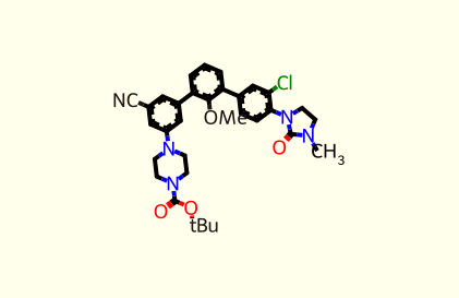 COc1c(-c2cc(C#N)cc(N3CCN(C(=O)OC(C)(C)C)CC3)c2)cccc1-c1ccc(N2CCN(C)C2=O)c(Cl)c1